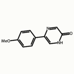 COc1ccc(-c2c[nH]c(=O)cn2)cc1